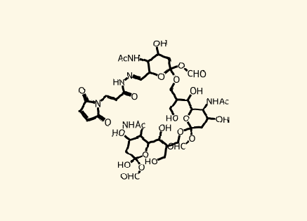 CC(=O)NC1C(O)CC(OC=O)(OCC(CO)C(O)C2OC(OC=O)(OCC(CO)C(O)C3OC(O)(OC=O)CC(O)C3NC(C)=O)CC(O)C2NC(C)=O)OC1/C=N/NC(=O)CCN1C(=O)C=CC1=O